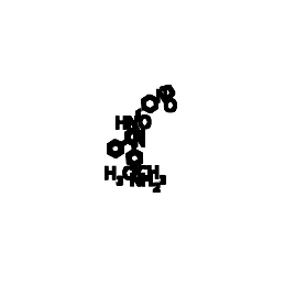 CC(C)(N)c1ccc(-c2nnc(NC(=O)C[C@H]3CC[C@H](N4CCCC4=O)CC3)cc2-c2ccccc2)cc1